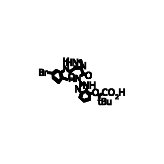 Cc1ccc(Br)cc1NC(=O)c1[nH]cnc1C(=O)Nc1nc2cccc(OC(C(=O)O)C(C)(C)C)c2[nH]1